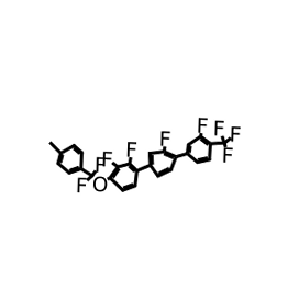 Cc1ccc(C(F)(F)Oc2ccc(-c3ccc(-c4ccc(C(F)(F)F)c(F)c4)c(F)c3)c(F)c2F)cc1